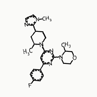 CC1CC(c2nccn2C)CCN1c1cc(-c2ccc(F)cc2)nc(N2CCOCC2C)n1